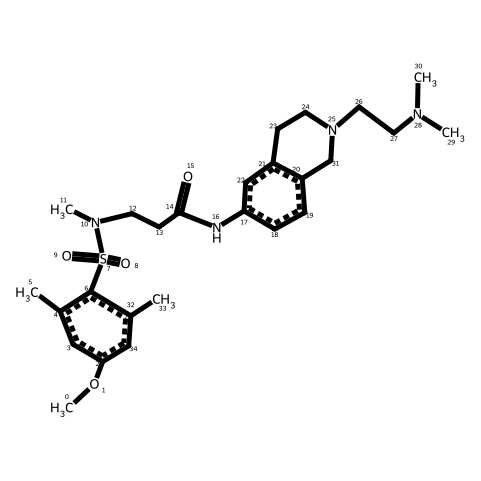 COc1cc(C)c(S(=O)(=O)N(C)CCC(=O)Nc2ccc3c(c2)CCN(CCN(C)C)C3)c(C)c1